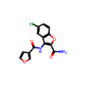 NC(=O)c1oc2ccc(Cl)cc2c1NC(=O)c1ccoc1